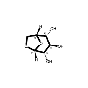 O[C@H]1[C@H](O)[C@@H]2OC[C@@H](O2)[C@@H]1O